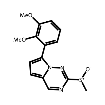 COc1cccc(-c2ccc3cnc([S+](C)[O-])nn23)c1OC